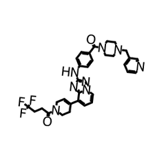 O=C(CCC(F)(F)F)N1CC=C(c2cccn3nc(Nc4ccc(C(=O)N5CCN(Cc6cccnc6)CC5)cc4)nc23)CC1